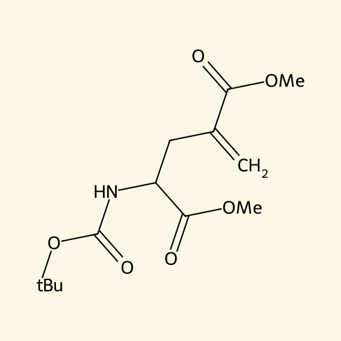 C=C(CC(NC(=O)OC(C)(C)C)C(=O)OC)C(=O)OC